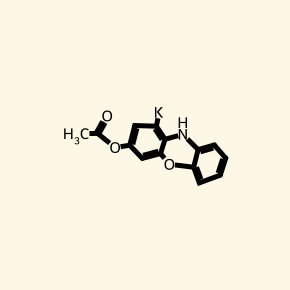 CC(=O)Oc1c[c]([K])c2c(c1)Oc1ccccc1N2